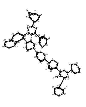 c1ccc(-c2cc(-c3ccc(-c4ccc(-c5ccc(-c6c(-c7nc(-c8ccccc8)nc(-c8ccccc8)n7)ccc7ccccc67)cc5)cc4)cc3)nc(-c3ccccc3)n2)cc1